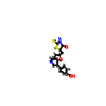 O=C1NC(=S)S/C1=C\c1cc2cncc(-c3ccc(O)cc3)c2o1